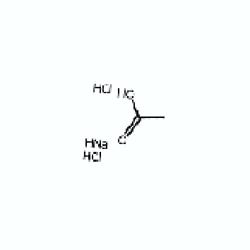 CC(=O)O.Cl.Cl.[NaH]